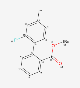 Cc1ccc(-c2ccccc2C(=O)OC(C)(C)C)c(F)c1